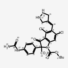 CC(C)(C)OC(=O)N1c2cc(Cl)c(C=C3CNNC3)c(Cl)c2C(=O)C1(C(=O)O)c1ccc(NC(N)=O)cc1